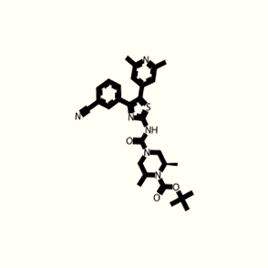 Cc1cc(-c2sc(NC(=O)N3CC(C)N(C(=O)OC(C)(C)C)[C@H](C)C3)nc2-c2cccc(C#N)c2)cc(C)n1